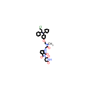 CN(CCOc1ccc(/C(=C(/CCCl)c2ccccc2)c2ccccc2)cc1)C(=O)CNc1cccc2c1C(=O)N(C1CCC(=O)NC1=O)C2=O